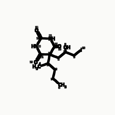 CCCC(C)C1(CC(O)CI)C(=O)NC(=O)NC1=O